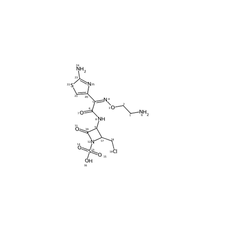 NCCON=C(C(=O)NC1C(=O)N(S(=O)(=O)O)C1CCl)c1csc(N)n1